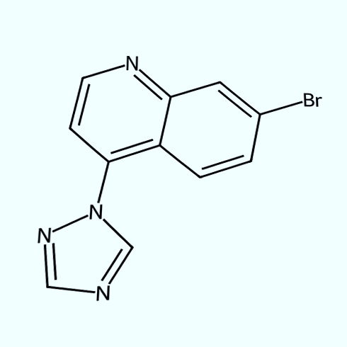 Brc1ccc2c(-n3cncn3)ccnc2c1